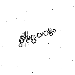 O=C(NC1[C@@H]2CC3C[C@H]1CC(O)(C3)C2)N1CCN(c2ccc(N3CCN(S(=O)(=O)C4CCC4)CC3)cc2)c2ccccc21